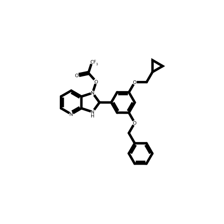 O=C(ON1c2cccnc2NC1c1cc(OCc2ccccc2)cc(OCC2CC2)c1)C(F)(F)F